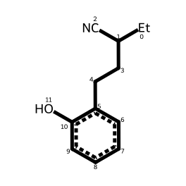 CCC(C#N)CCc1ccccc1O